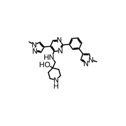 Cn1cc(-c2cccc(-c3ncc(-c4cnn(C)c4)c(NCC4(O)CCNCC4)n3)c2)cn1